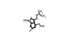 CCCOc1cc(F)cc2c1c(CCN(C)C)cn2CCC